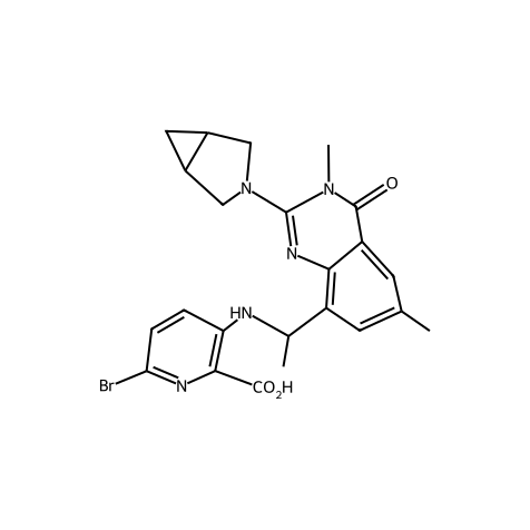 Cc1cc(C(C)Nc2ccc(Br)nc2C(=O)O)c2nc(N3CC4CC4C3)n(C)c(=O)c2c1